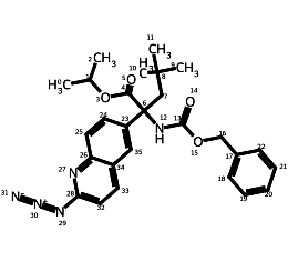 CC(C)OC(=O)C(CC(C)(C)C)(NC(=O)OCc1ccccc1)c1ccc2nc(N=[N+]=[N-])ccc2c1